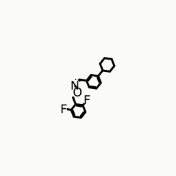 Fc1cccc(F)c1CO/N=[C]\c1cccc(C2CCCCC2)c1